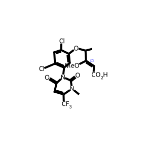 CO/C(=C\C(=O)O)C(C)Oc1cc(-n2c(=O)cc(C(F)(F)F)n(C)c2=O)c(Cl)cc1Cl